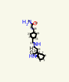 Cc1[nH]c2ccccc2c1CCNCc1ccc(/C=C/C(N)=O)cc1